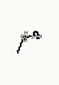 CCCCCCCCS(=O)(=O)NCCSc1cccc2nccn12